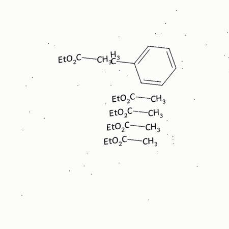 CCOC(C)=O.CCOC(C)=O.CCOC(C)=O.CCOC(C)=O.CCOC(C)=O.Cc1ccccc1